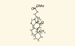 COC(=O)CCCC1CCC2C3CCC4CCCCC4(C)C3=CC(=O)C12C